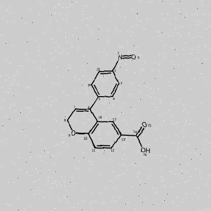 O=Nc1ccc(C2=CCOc3ccc(C(=O)O)cc32)cc1